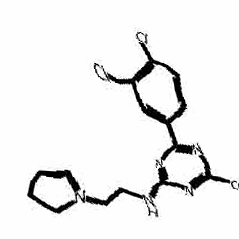 Clc1ccc(-c2nc(NCCN3CCCC3)nc(C(Cl)(Cl)Cl)n2)cc1Cl